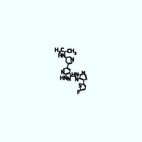 CC(C)Nc1cncc(-c2cnc3[nH]nc(-c4nc5c(-c6ccc(F)s6)ccnc5[nH]4)c3c2)c1